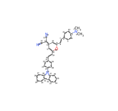 CN(C)c1ccc(/C=C/C2=CC(=C(C#N)C#N)C=C(/C=C/c3ccc(-n4c5ccccc5c5ccccc54)cc3)O2)cc1